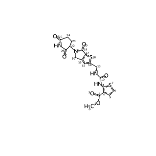 COC(=O)c1ccsc1NC(=O)NCc1cc2c(s1)C(=O)N(C1CCC(=O)NC1=O)C2